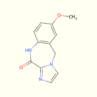 COc1ccc2c(c1)Cn1ccnc1C(=O)N2